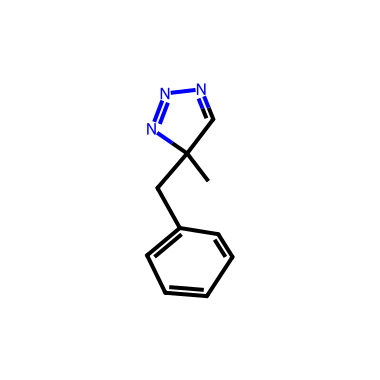 CC1(Cc2ccccc2)C=NN=N1